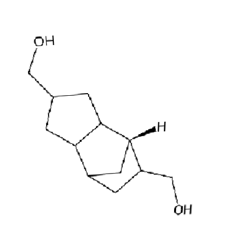 OCC1CC2C3CC(CO)[C@H](C3)C2C1